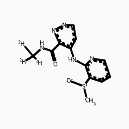 [2H]C([2H])([2H])NC(=O)c1nnccc1Nc1ncccc1[S+](C)[O-]